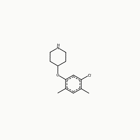 Cc1cc(C)c(OC2CCNCC2)cc1Cl